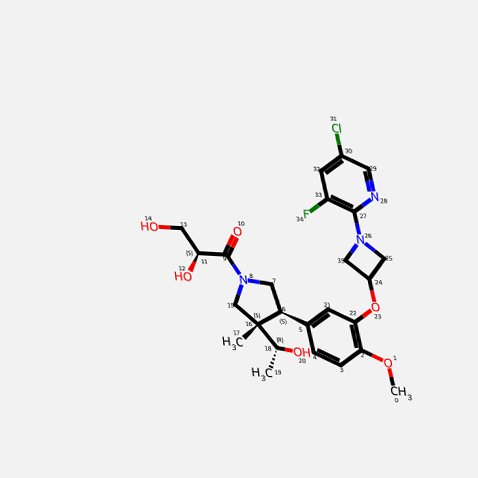 COc1ccc([C@@H]2CN(C(=O)[C@@H](O)CO)C[C@@]2(C)[C@@H](C)O)cc1OC1CN(c2ncc(Cl)cc2F)C1